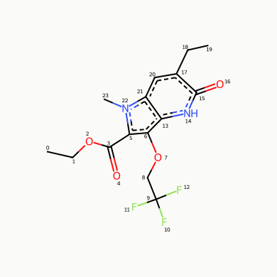 CCOC(=O)c1c(OCC(F)(F)F)c2[nH]c(=O)c(CC)cc2n1C